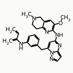 C=CC(=C)Nc1cccc(Cc2cc(Nc3nc4c(cc3OC)CN(C)CC4)nc3ccnn23)c1